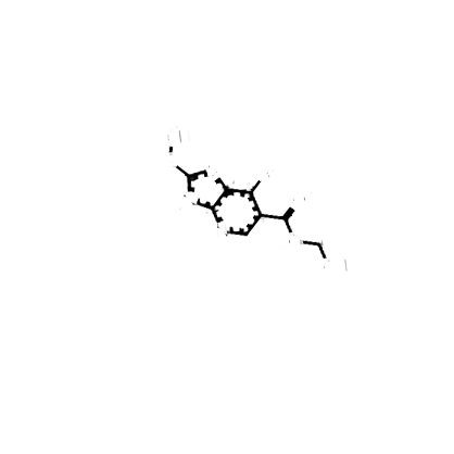 CCOC(=O)c1cnc2nc(SC)sc2c1Br